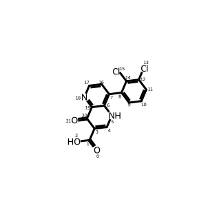 O=C(O)c1c[nH]c2c(-c3cccc(Cl)c3Cl)ccnc2c1=O